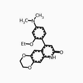 CCOc1cc(N(C)C)ccc1-c1cc(=O)[nH]c2cc3c(cc12)OCCO3